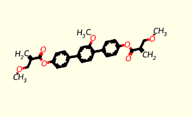 C=C(COC)C(=O)Oc1ccc(-c2ccc(-c3ccc(OC(=O)C(=C)COC)cc3)c(OC)c2)cc1